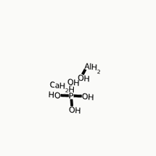 O[PH](O)(O)O.[CaH2].[OH][AlH2]